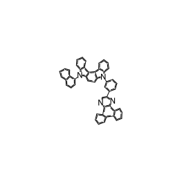 c1cc(-c2cnc3c4ccccc4c4ccccc4c3n2)cc(-n2c3ccccc3c3c4c5ccccc5n(-c5cccc6ccccc56)c4ccc32)c1